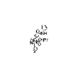 CC(C)OC(=O)n1c(SCC(=O)Nc2ccccc2)nnc1-c1ccsc1